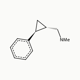 CNC[C@H]1C[C@@H]1c1ccccc1